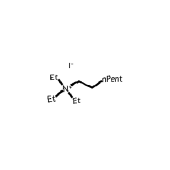 CCCCCCC[N+](CC)(CC)CC.[I-]